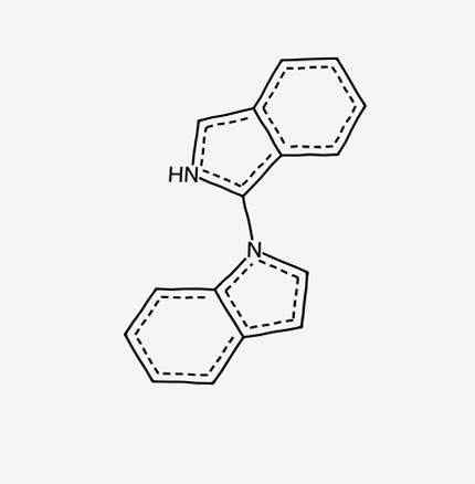 c1ccc2c(-n3ccc4ccccc43)[nH]cc2c1